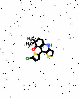 CC1(C)CCC2=C(C1=O)C(c1ccc(Cl)s1)C1=C(CCS1)N2